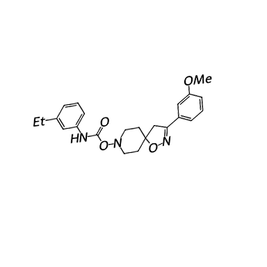 CCc1cccc(NC(=O)ON2CCC3(CC2)CC(c2cccc(OC)c2)=NO3)c1